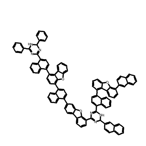 c1ccc(C2=NC(c3ccc(-c4ccc(-c5ccc(-c6ccc7c(c6)oc6c(C8=NC(c9ccc%10ccccc%10c9)NC(c9ccc(-c%10cccc%11oc%12c(-c%13ccc%14ccccc%14c%13)cccc%12c%10%11)c%10ccccc9%10)=N8)cccc67)c6ccccc56)c5oc6ccccc6c45)c4ccccc34)=NC(c3ccccc3)N2)cc1